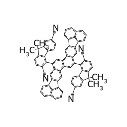 CC1(C)c2cc(C#N)ccc2-c2c1ccc(C#N)c2-c1cc2c3cc4c(cc3c(-c3c(C#N)ccc5c3-c3ccc(C#N)cc3C5(C)C)cc2c2cc3c(cc12)-c1cccc2cccc-3c12)-c1cccc2cccc-4c12